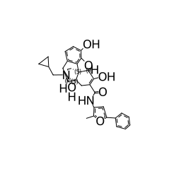 Cc1oc(-c2ccccc2)cc1NC(=O)C1=C(O)[C@@H]2Oc3c(O)ccc4c3[C@@]23CCN(CC2CC2)[C@H](C4)[C@]3(O)C1